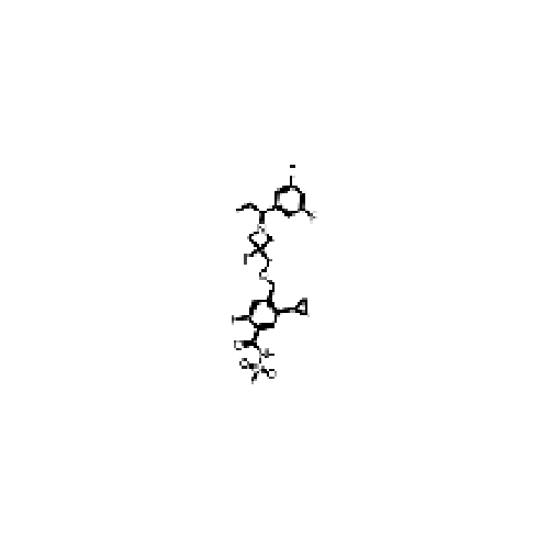 CCC(c1cc(F)cc(F)c1)N1CC(F)(COCc2cc(F)c(C(=O)NS(C)(=O)=O)cc2C2CC2)C1